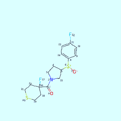 O=C(N1CCC([S+]([O-])c2ccc(F)cc2)C1)C1(F)CCSCC1